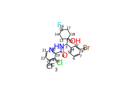 O=C(NC(c1cccc(Br)c1)C1(O)CCC(F)CC1)c1nccc(C(F)(F)F)c1Cl